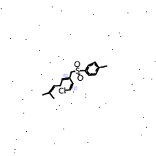 CC(C)=CC/C=C(\C=C/Cl)CS(=O)(=O)c1ccc(C)cc1